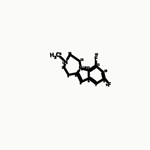 CN1CCc2cc3cc(F)cc(F)c3n2CC1